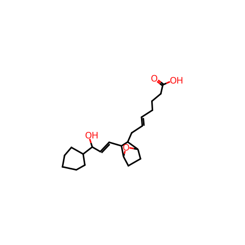 O=C(O)CCCC=CCC1C2CCC(O2)C1C=CC(O)C1CCCCC1